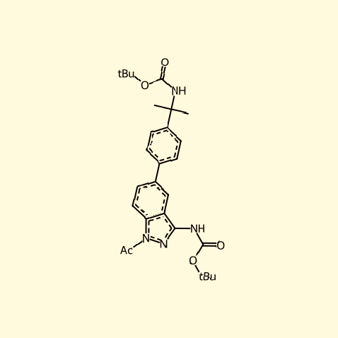 CC(=O)n1nc(NC(=O)OC(C)(C)C)c2cc(-c3ccc(C(C)(C)NC(=O)OC(C)(C)C)cc3)ccc21